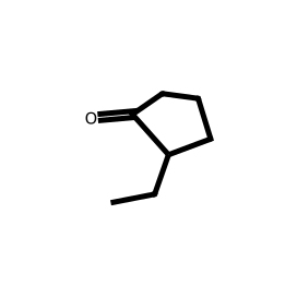 CCC1CCCC1=O